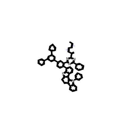 C=C(/C=C\C=C/C)c1nc(-c2ccccc2)nc(-c2cc(-c3cc(-c4ccccc4)cc(-c4ccccc4)c3)ccc2-c2cccc3c2sc2ccc4c5ccccc5n(-c5ccccc5)c4c23)n1